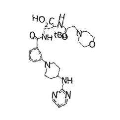 CC(C)(C)[C@@](CNC(=O)c1cccc(N2CCC(Nc3ncccn3)CC2)c1)(NC(=O)CN1CCOCC1)C(=O)O